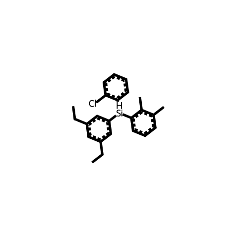 CCc1cc(CC)cc([SiH](c2ccccc2Cl)c2cccc(C)c2C)c1